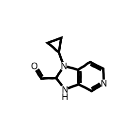 O=CC1Nc2cnccc2N1C1CC1